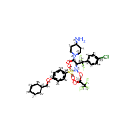 NC1CCN(C(=O)[C@H](N(OC(=O)C(F)(F)F)S(=O)(=O)c2ccc(OCC3CCCCC3)cc2)C(F)(F)c2ccc(Cl)cc2)CC1